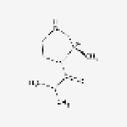 CC(C)C(=O)N1CCNC[C@H]1C